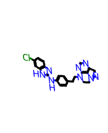 Clc1ccc2nc(Nc3ccc(CCN4CCn5ncc6ncnc4c65)cc3)[nH]c2c1